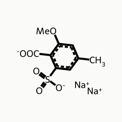 COc1cc(C)cc(S(=O)(=O)[O-])c1C(=O)[O-].[Na+].[Na+]